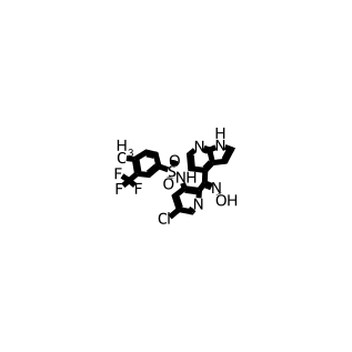 Cc1ccc(S(=O)(=O)Nc2cc(Cl)cnc2C(=NO)c2ccnc3[nH]ccc23)cc1C(F)(F)F